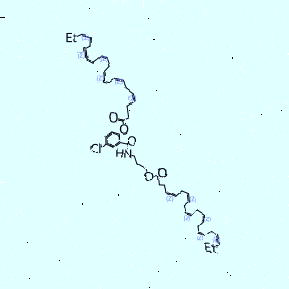 CC/C=C\C/C=C\C/C=C\C/C=C\C/C=C\C/C=C\CCC(=O)OCCCNC(=O)c1cc(Cl)ccc1OC(=O)CC/C=C\C/C=C\C/C=C\C/C=C\C/C=C\C/C=C\CC